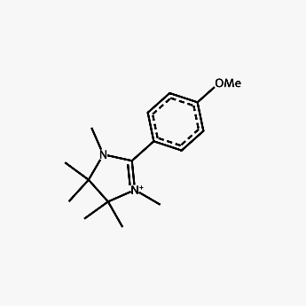 COc1ccc(C2=[N+](C)C(C)(C)C(C)(C)N2C)cc1